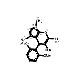 COc1cccc(OC)c1C1C(C#N)=C(N)Oc2c1c(C)nn2C